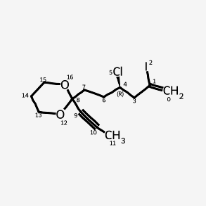 C=C(I)C[C@H](Cl)CCC1(C#CC)OCCCO1